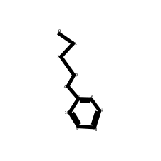 CCCC[CH]c1ccccc1